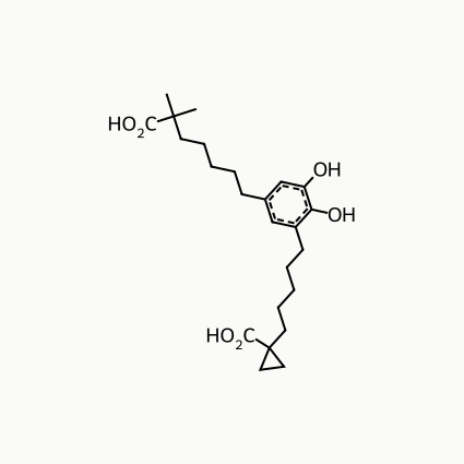 CC(C)(CCCCCc1cc(O)c(O)c(CCCCCC2(C(=O)O)CC2)c1)C(=O)O